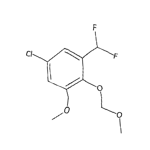 COCOc1c(OC)cc(Cl)cc1C(F)F